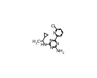 CC(Nc1nc(N)nc(-c2cccc(Cl)n2)n1)C1CC1